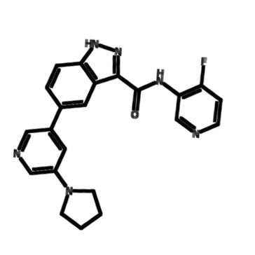 O=C(Nc1cnccc1F)c1n[nH]c2ccc(-c3cncc(N4CCCC4)c3)cc12